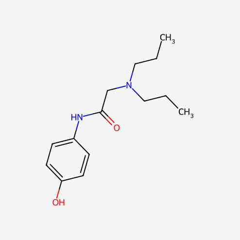 CCCN(CCC)CC(=O)Nc1ccc(O)cc1